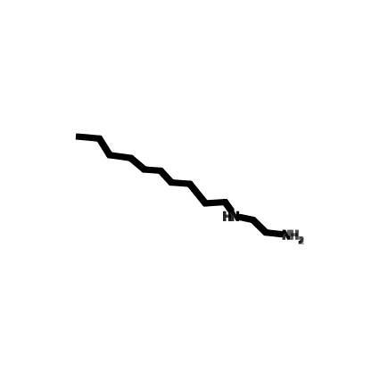 CCCCCCCCCCNCCN